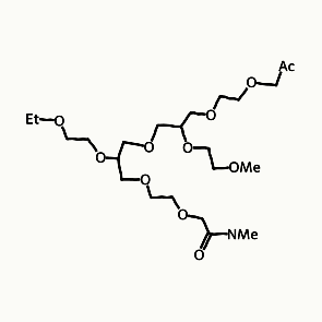 CCOCCOC(COCCOCC(=O)NC)COCC(COCCOCC(C)=O)OCCOC